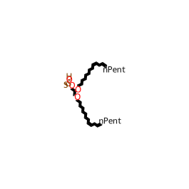 CCCCC/C=C\C/C=C\CCCCCCCCOCC(CO[SH](=O)=S)OCCCCCCCC/C=C\C/C=C\CCCCC